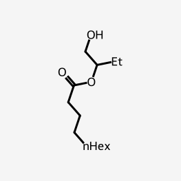 CCCCCCCCCC(=O)OC(CC)CO